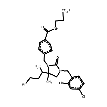 CC(C)CCC(C)C1(C)CN(Cc2ccc(Cl)cc2Cl)C(=O)N1Cc1ccc(C(=O)NCCC(=O)O)cc1